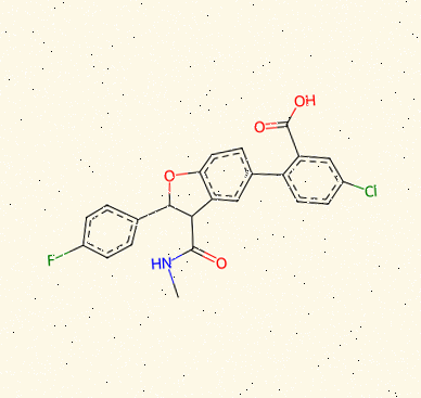 CNC(=O)C1c2cc(-c3ccc(Cl)cc3C(=O)O)ccc2OC1c1ccc(F)cc1